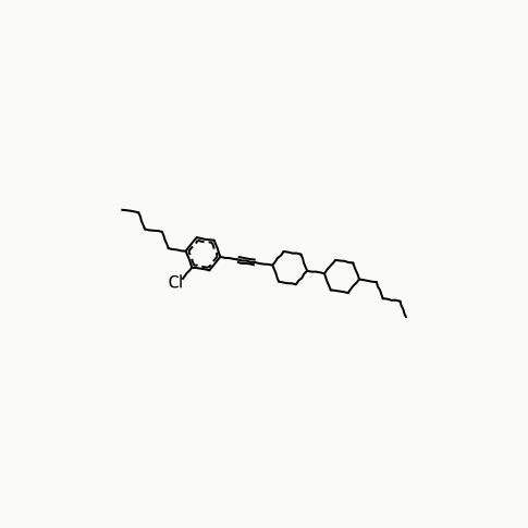 CCCCCc1ccc(C#CC2CCC(C3CCC(CCCC)CC3)CC2)cc1Cl